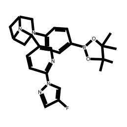 CC1(C)OB(c2ccc(N3CC4CC(C3)N4Cc3ccc(-n4cc(F)cn4)nc3)nc2)OC1(C)C